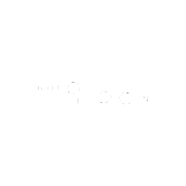 CCCCCc1ccc(CCc2ccc(-c3ccc(C#N)cc3)cc2)c(F)c1